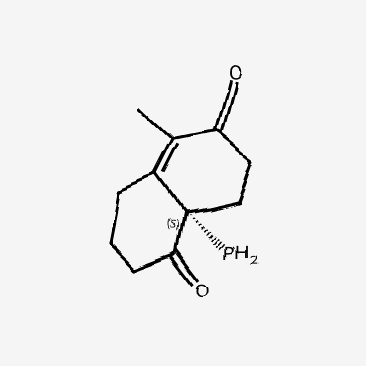 CC1=C2CCCC(=O)[C@]2(P)CCC1=O